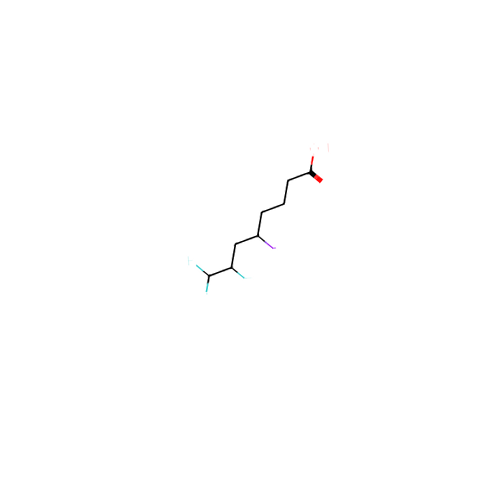 O=C(O)CCCC(I)CC(F)C(F)F